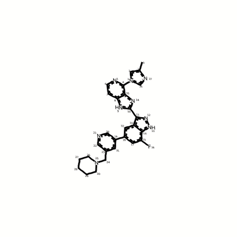 Cc1cn(-c2nccc3[nH]c(-c4n[nH]c5c(F)cc(-c6cncc(CN7CCCCC7)c6)cc45)nc23)cn1